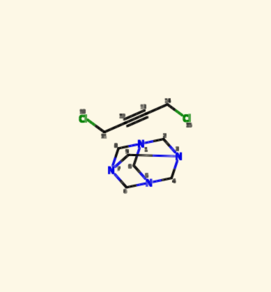 C1N2CN3CN1CN(C2)C3.ClCC#CCCl